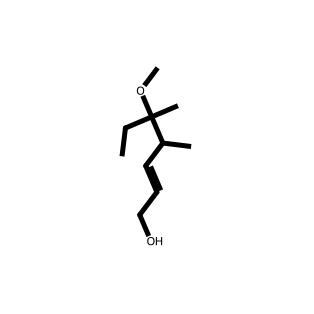 CCC(C)(OC)C(C)C=CCO